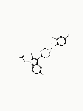 Cc1cc(F)ccc1S(=O)(=O)N1CCC(c2c(C)n(CC(=O)O)c3ccc(F)cc23)CC1